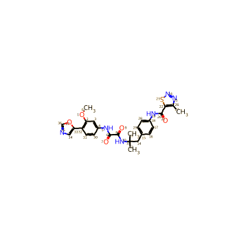 COc1cc(NC(=O)C(=O)NC(C)(C)Cc2ccc(NC(=O)c3snnc3C)cc2)ccc1-c1cnco1